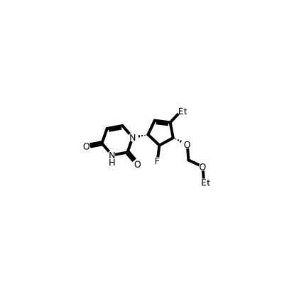 CCOCO[C@H]1C(CC)=C[C@@H](n2ccc(=O)[nH]c2=O)C1F